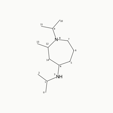 CC(C)NC1CCCN(C(C)C)C(C)C1